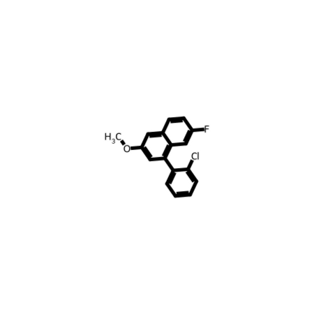 COc1cc(-c2ccccc2Cl)c2cc(F)ccc2c1